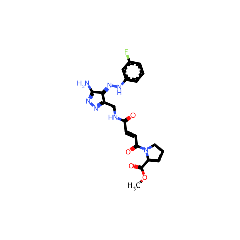 COC(=O)C1CCCN1C(=O)C=CC(=O)NCC1=NN=C(N)C1=NNc1cccc(F)c1